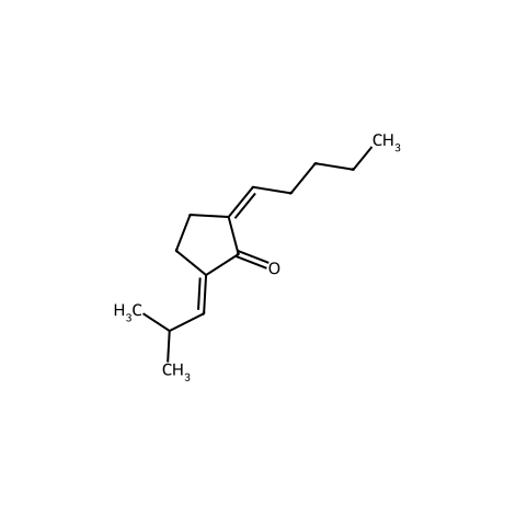 CCCCC=C1CCC(=CC(C)C)C1=O